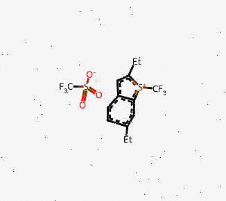 CCc1ccc2cc(CC)[s+](C(F)(F)F)c2c1.O=S(=O)([O-])C(F)(F)F